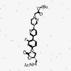 CC(=O)NC[C@H]1CN(c2ccc(-c3ccc(N4C=NN(CC(=O)OC(C)(C)C)CC4)nc3)c(F)c2)C(=O)O1